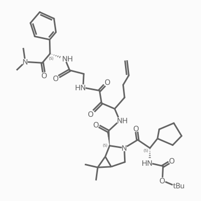 C=CCCC(NC(=O)[C@@H]1C2C(CN1C(=O)[C@@H](NC(=O)OC(C)(C)C)C1CCCC1)C2(C)C)C(=O)C(=O)NCC(=O)N[C@H](C(=O)N(C)C)c1ccccc1